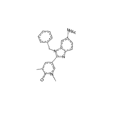 CC(=O)Nc1ccc2nc(-c3cc(C)c(=O)n(C)c3)n(Cc3ccccc3)c2c1